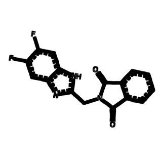 O=C1c2ccccc2C(=O)N1Cc1nc2cc(F)c(F)cc2[nH]1